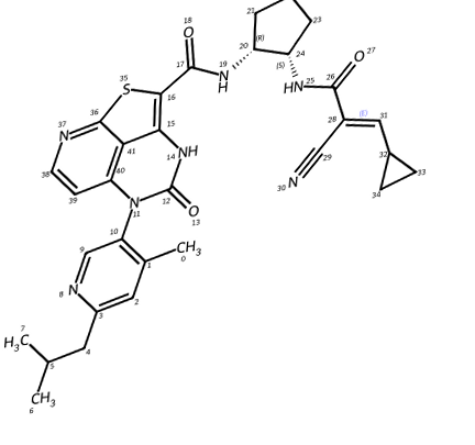 Cc1cc(CC(C)C)ncc1N1C(=O)Nc2c(C(=O)N[C@@H]3CCC[C@@H]3NC(=O)/C(C#N)=C/C3CC3)sc3nccc1c23